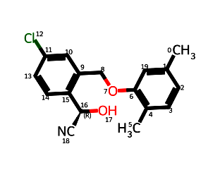 Cc1ccc(C)c(OCc2cc(Cl)ccc2[C@@H](O)C#N)c1